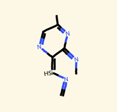 C=N/[SiH]=C1/N=CC(C)=N/C1=N/C